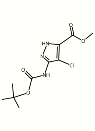 COC(=O)c1[nH]nc(NC(=O)OC(C)(C)C)c1Cl